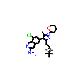 Cc1c(-c2cc(Cl)c3cnc(N)cc3c2)c(CC[Si](C)(C)C(C)(C)C)nn1C1CCCCO1